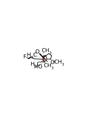 CO[C@@H]1CCC23CC[C@@H](C)[C@](C)(C12)[C@H](O)C[C@@](C)(CC=CF)C(=O)[C@@H]3C